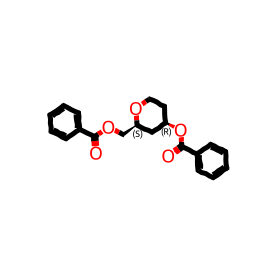 O=C(OC[C@@H]1C[C@H](OC(=O)c2ccccc2)CCO1)c1ccccc1